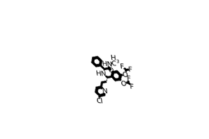 CNC(=O)[C@H](N[C@@H](CCc1ccc(Cl)cn1)c1ccc(OC(F)F)c(OC(F)F)c1)c1ccccc1